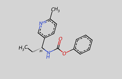 CC[C@@H](NC(=O)Oc1ccccc1)c1ccc(C)nc1